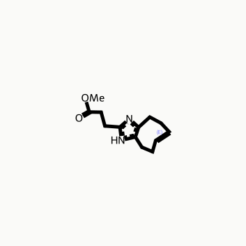 COC(=O)CCc1nc2c([nH]1)CC/C=C/CC2